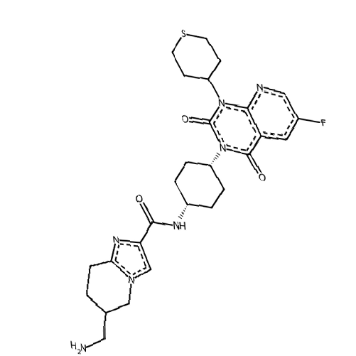 NCC1CCc2nc(C(=O)N[C@H]3CC[C@@H](n4c(=O)c5cc(F)cnc5n(C5CCSCC5)c4=O)CC3)cn2C1